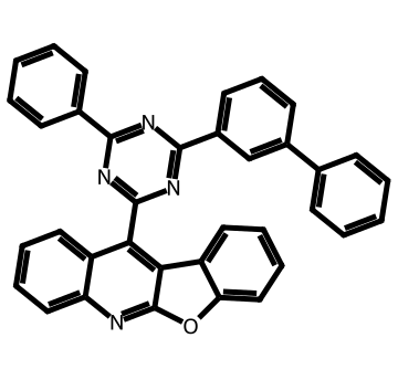 c1ccc(-c2cccc(-c3nc(-c4ccccc4)nc(-c4c5ccccc5nc5oc6ccccc6c45)n3)c2)cc1